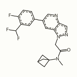 CN(C(=O)Cn1ncc2ncc(-c3ccc(F)c(C(F)F)c3)cc21)C12CC(C1)C2